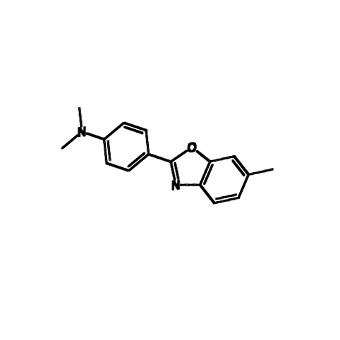 Cc1ccc2nc(-c3ccc(N(C)C)cc3)oc2c1